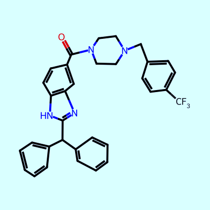 O=C(c1ccc2[nH]c(C(c3ccccc3)c3ccccc3)nc2c1)N1CCN(Cc2ccc(C(F)(F)F)cc2)CC1